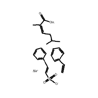 C=Cc1ccccc1.CC(=CCC(C)C)C(=O)O.O=S(=O)([O-])C=Cc1ccccc1.[Na+]